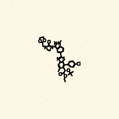 CCOC(=O)[C@@H](OC(C)(C)C)c1c(C)cc2nc(-c3ccc4c(c3)c(N3CCN(CC5OCCO5)C3=O)nn4C)sc2c1-c1ccc(Cl)cc1